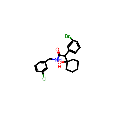 O=C(NCc1cccc(Cl)c1)C(c1cccc(Br)c1)C1(O)CCCCC1